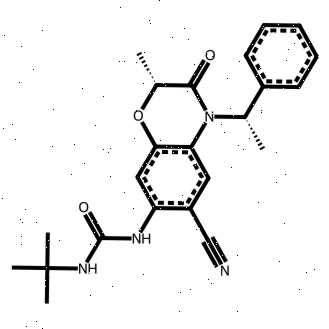 C[C@H]1Oc2cc(NC(=O)NC(C)(C)C)c(C#N)cc2N([C@@H](C)c2ccccc2)C1=O